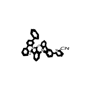 N#Cc1cccc(-c2ccc3c(c2)c2ccccc2n3-c2cccc3c2C(=O)N(c2cc(-c4ccccc4)ccc2-c2ccccc2)C3=O)n1